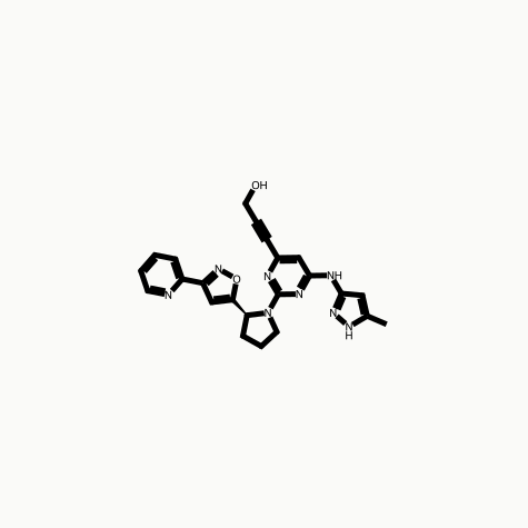 Cc1cc(Nc2cc(C#CCO)nc(N3CCC[C@H]3c3cc(-c4ccccn4)no3)n2)n[nH]1